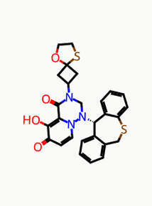 O=C1c2c(O)c(=O)ccn2N([C@H]2c3ccccc3CSc3ccccc32)CN1C1CC2(C1)OCCS2